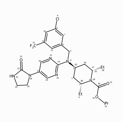 CC[C@@H]1C[C@@H](N(Cc2cc(Cl)cc(C(F)(F)F)c2)c2ncc(N3CCNC3=O)cn2)C[C@H](CC)N1C(=O)OC(C)C